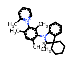 Cc1cc(C)c(-[n+]2ccccc2C)c(C)c1N1c2ccccc2C2(CCCCC2)[C@H]1C